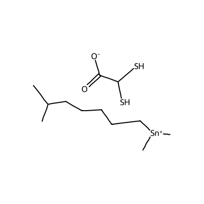 CC(C)CCCC[CH2][Sn+]([CH3])[CH3].O=C([O-])C(S)S